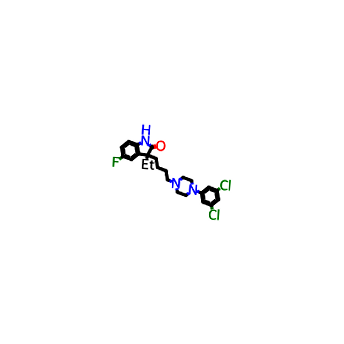 CCC1(CCCCN2CCN(c3cc(Cl)cc(Cl)c3)CC2)C(=O)Nc2ccc(F)cc21